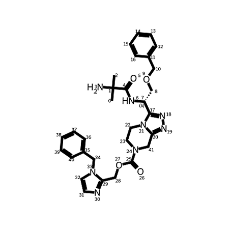 CC(C)(N)C(=O)N[C@H](COCc1ccccc1)c1nnc2n1CCN(C(=O)OCc1nccn1Cc1ccccc1)C2